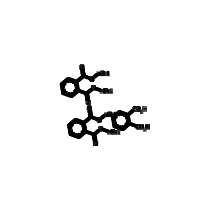 CCCCCCCCOC(=O)c1ccccc1C(=O)OCCCCCCCC.CCCCCCCCOC(=O)c1ccccc1C(=O)OCCCCCCCC.O=C(O)c1ccccc1C(=O)O